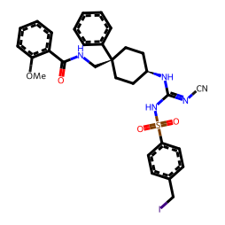 COc1ccccc1C(=O)NC[C@]1(c2ccccc2)CC[C@H](N/C(=N\C#N)NS(=O)(=O)c2ccc(CI)cc2)CC1